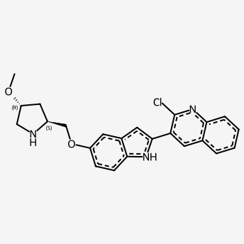 CO[C@H]1CN[C@H](COc2ccc3[nH]c(-c4cc5ccccc5nc4Cl)cc3c2)C1